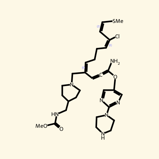 COC(=O)NCC1CCN(C/C(C=C=C(N)Oc2cnc(N3CCNCC3)nc2)=C/CC/C=C(Cl)\C=C/SC)CC1